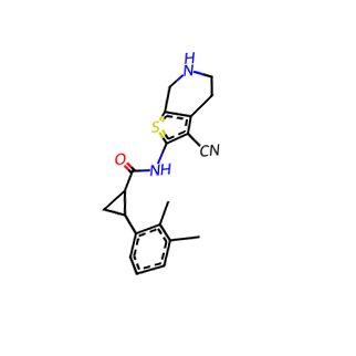 Cc1cccc(C2CC2C(=O)Nc2sc3c(c2C#N)CCNC3)c1C